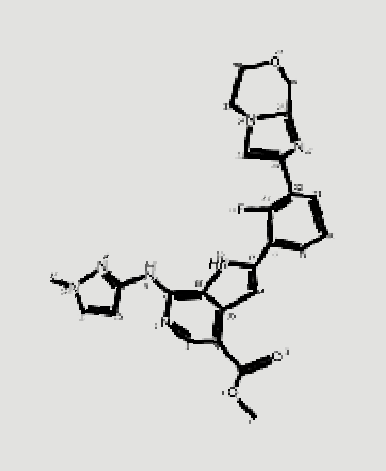 COC(=O)c1cnc(Nc2ccn(C)n2)c2[nH]c(-c3cccc(-c4cn5c(n4)COCC5)c3F)cc12